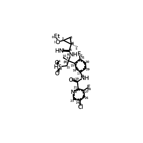 CCOC1C[C@@]1(C)C(=N)N[C@@](C)(C[SH](=O)=O)c1cc(NC(=O)c2ncc(Cl)cc2F)ccc1F